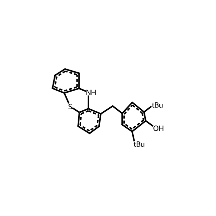 CC(C)(C)c1cc(Cc2cccc3c2Nc2ccccc2S3)cc(C(C)(C)C)c1O